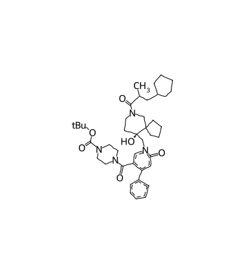 CC(CC1CCCCC1)C(=O)N1CC[C@@](O)(Cn2cc(C(=O)N3CCN(C(=O)OC(C)(C)C)CC3)c(-c3ccccc3)cc2=O)C2(CCCC2)C1